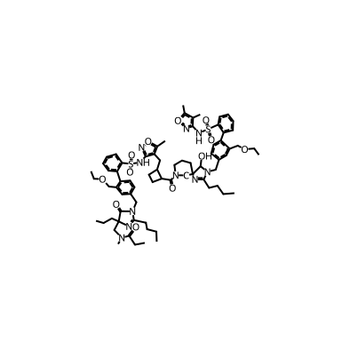 CCCCC1=NC(CCC)(CN(C)C(=O)CC)C(=O)N1Cc1ccc(-c2ccccc2S(=O)(=O)Nc2noc(C)c2CC2CCC2C(=O)N2CCCC3(C2)N=C(CCCC)N(Cc2ccc(-c4ccccc4S(=O)(=O)Nc4noc(C)c4C)c(COCC)c2)C3O)c(COCC)c1